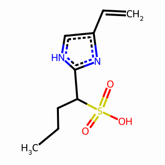 C=Cc1c[nH]c(C(CCC)S(=O)(=O)O)n1